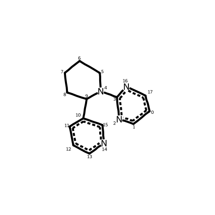 c1cnc(N2CCCCC2c2cccnc2)nc1